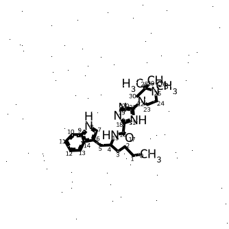 CCCCC(Cc1c[nH]c2ccccc12)NC(=O)c1nnc(N2CCN(C)C(C)(C)C2)[nH]1